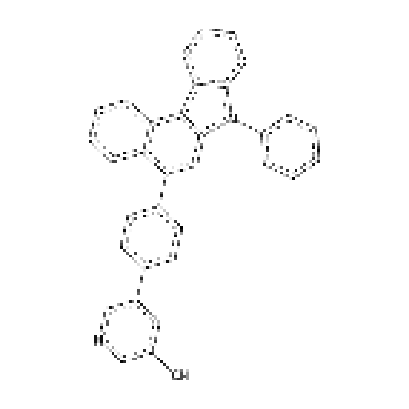 N#Cc1cncc(-c2ccc(-c3cc4c(c5ccccc35)c3ccccc3n4-c3ccccc3)cc2)c1